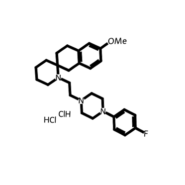 COc1ccc2c(c1)CCC1(CCCCN1CCN1CCN(c3ccc(F)cc3)CC1)C2.Cl.Cl